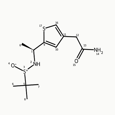 C[C@H](N[S+]([O-])C(C)(C)C)c1cc(CC(N)=O)cs1